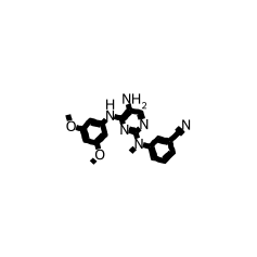 COc1cc(Nc2nc(N(C)c3cccc(C#N)c3)ncc2N)cc(OC)c1